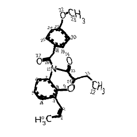 C/C=C\c1cccc2c1OC(CC)C(=O)N2C(=O)c1ccc(OC)cc1